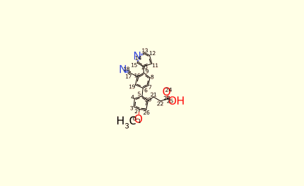 COc1ccc(-c2ccc(-c3cccnc3)c(C#N)c2)c(CCC(=O)O)c1